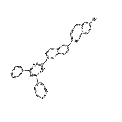 Brc1ccc2cc(-c3ccc4cc(-c5nc(-c6ccccc6)nc(-c6ccccc6)n5)ccc4c3)ccc2c1